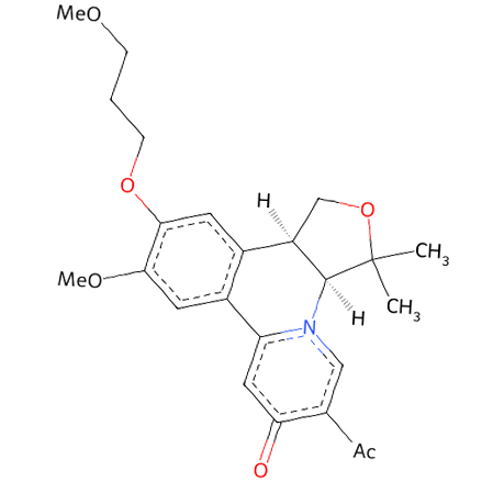 COCCCOc1cc2c(cc1OC)-c1cc(=O)c(C(C)=O)cn1[C@H]1[C@@H]2COC1(C)C